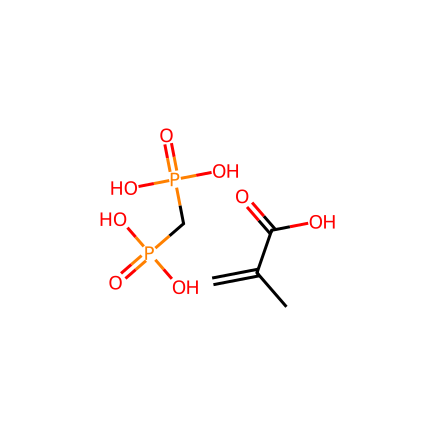 C=C(C)C(=O)O.O=P(O)(O)CP(=O)(O)O